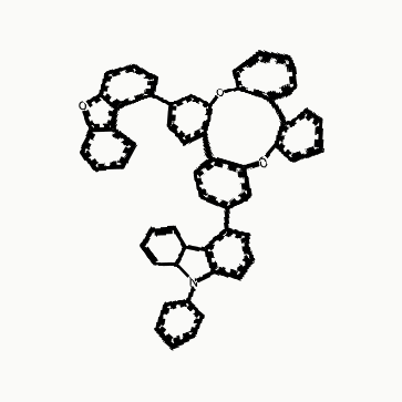 C1=CC2c3c(-c4ccc5c(c4)Oc4ccccc4-c4ccccc4Oc4cc(-c6cccc7oc8ccccc8c67)ccc4-5)cccc3N(c3ccccc3)C2C=C1